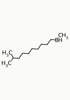 CBCCCCCCCCC(C)C